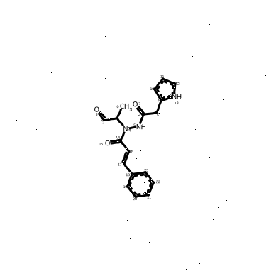 CC([C]=O)N(NC(=O)Cc1ccc[nH]1)C(=O)C=Cc1ccccc1